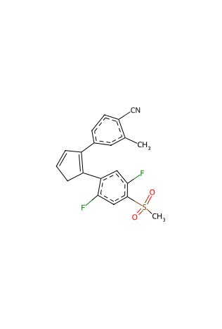 Cc1cc(C2=C(c3cc(F)c(S(C)(=O)=O)cc3F)CC=C2)ccc1C#N